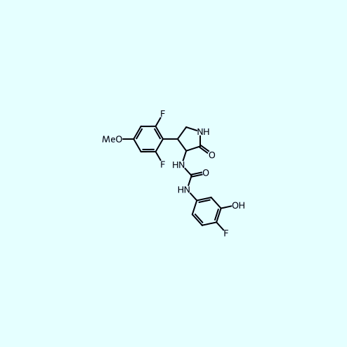 COc1cc(F)c(C2CNC(=O)C2NC(=O)Nc2ccc(F)c(O)c2)c(F)c1